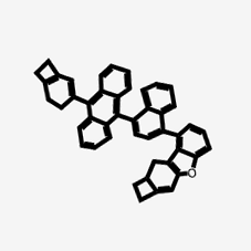 C1=C(c2c3ccccc3c(-c3ccc(-c4cccc5oc6c(c45)CC4CCC4=C6)c4ccccc34)c3ccccc23)CCC2=C1CC2